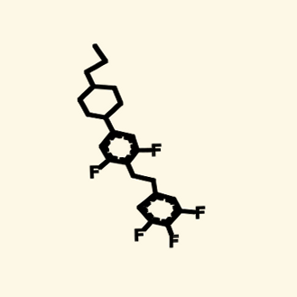 CCCC1CCC(c2cc(F)c(CCc3cc(F)c(F)c(F)c3)c(F)c2)CC1